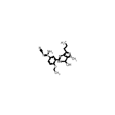 CCCc1nn(C)c2c1N=C(c1cc(/S(N)=N/C#N)ccc1OCC)NC2O